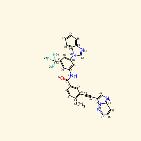 Cc1ccc(C(=O)Nc2cc(-n3cnc4ccccc43)cc(C(F)(F)F)c2)cc1C#Cc1cnc2cccnn12